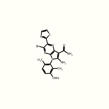 COc1ccc(C)c(-n2c(N)c(C(N)=O)c3nc(-c4nccs4)c(Br)nc32)c1C